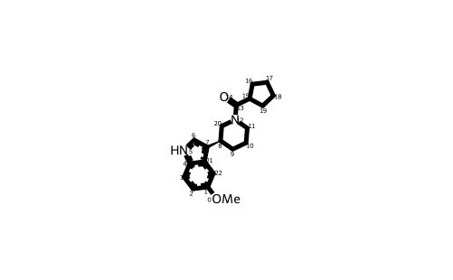 COc1ccc2[nH]cc([C@@H]3CCCN(C(=O)C4CCCC4)C3)c2c1